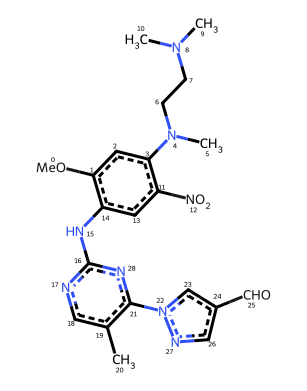 COc1cc(N(C)CCN(C)C)c([N+](=O)[O-])cc1Nc1ncc(C)c(-n2cc(C=O)cn2)n1